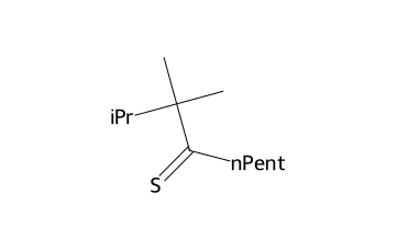 CCCCCC(=S)C(C)(C)C(C)C